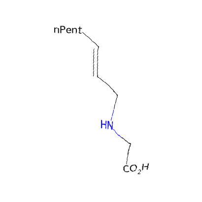 CCCCCC=CCNCC(=O)O